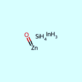 [InH3].[O]=[Zn].[SiH4]